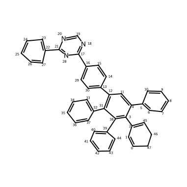 C1=CC(c2c(-c3ccccc3)cc(-c3ccc(-c4ncnc(-c5ccccc5)n4)cc3)c(-c3ccccc3)c2-c2ccccc2)=CCC1